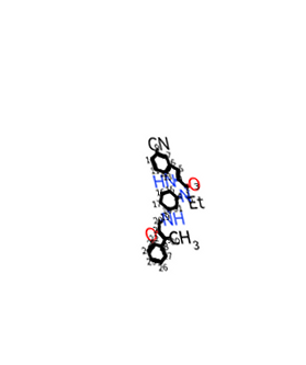 CCN(C(=O)c1cc2cc(C#N)ccc2[nH]1)C1CCCC(NCc2oc3ccccc3c2C)C1